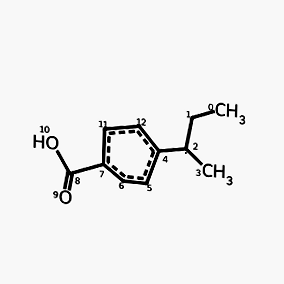 CC[C](C)c1ccc(C(=O)O)cc1